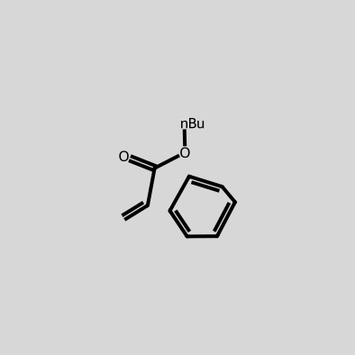 C=CC(=O)OCCCC.c1ccccc1